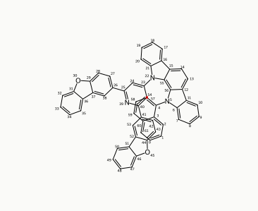 c1ccc2c(-n3c4ccccc4c4ccc5c6ccccc6n(-c6cc(-c7ccc8oc9ccccc9c8c7)nc(-c7ccc8oc9ccccc9c8c7)c6)c5c43)cccc2c1